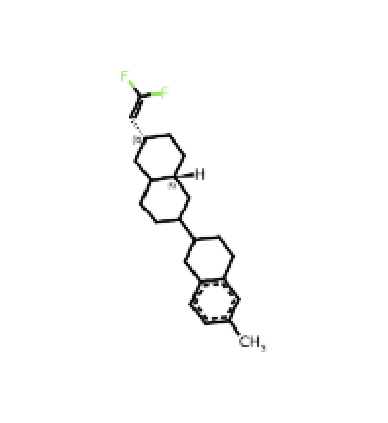 Cc1ccc2c(c1)CCC(C1CCC3C[C@H](C=C(F)F)CC[C@@H]3C1)C2